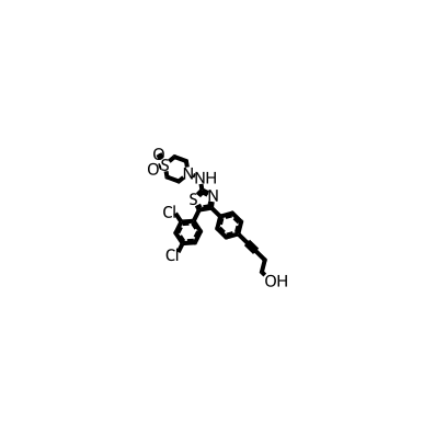 O=S1(=O)CCN(Nc2nc(-c3ccc(C#CCCO)cc3)c(-c3ccc(Cl)cc3Cl)s2)CC1